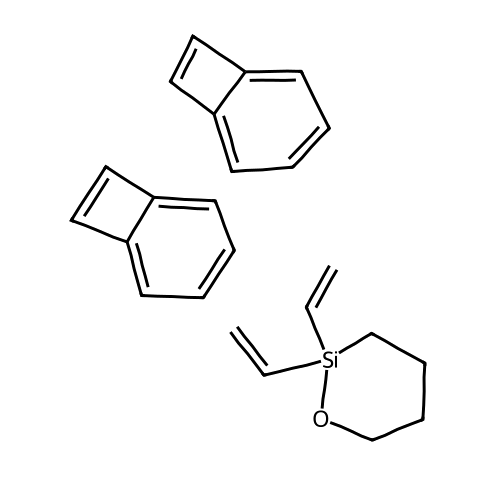 C1=Cc2ccccc21.C1=Cc2ccccc21.C=C[Si]1(C=C)CCCCO1